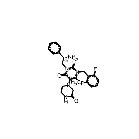 Cc1c(N2CCNC(=O)C2)c(=O)n(C[C@@H](N)c2ccccc2)c(=O)n1Cc1c(F)cccc1F